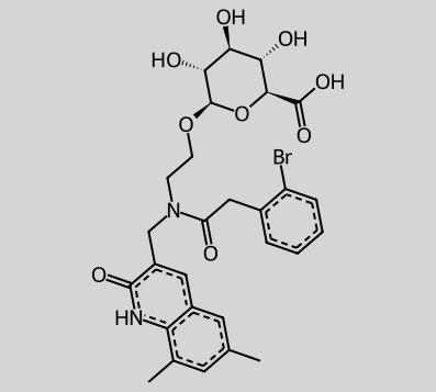 Cc1cc(C)c2[nH]c(=O)c(CN(CCO[C@@H]3O[C@H](C(=O)O)[C@@H](O)[C@H](O)[C@H]3O)C(=O)Cc3ccccc3Br)cc2c1